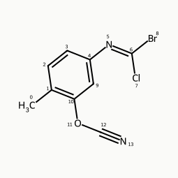 Cc1ccc(/N=C(\Cl)Br)cc1OC#N